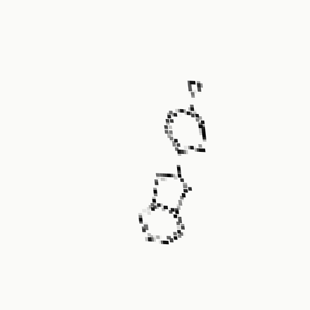 CCc1ccc(C2=Cc3ccccc3[CH]2)cc1